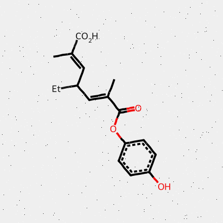 CCC(C=C(C)C(=O)O)C=C(C)C(=O)Oc1ccc(O)cc1